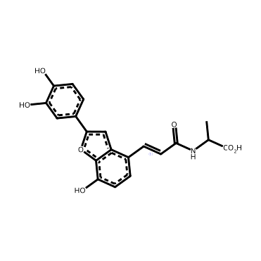 CC(NC(=O)/C=C/c1ccc(O)c2oc(-c3ccc(O)c(O)c3)cc12)C(=O)O